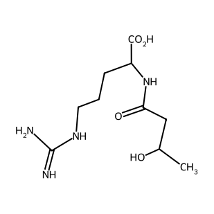 CC(O)CC(=O)NC(CCCNC(=N)N)C(=O)O